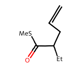 C=CCC(CC)C(=O)SC